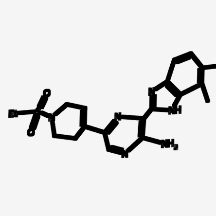 CCS(=O)(=O)N1CC=C(c2cnc(N)c(-c3nc4ccc(C)c(C)c4[nH]3)n2)CC1